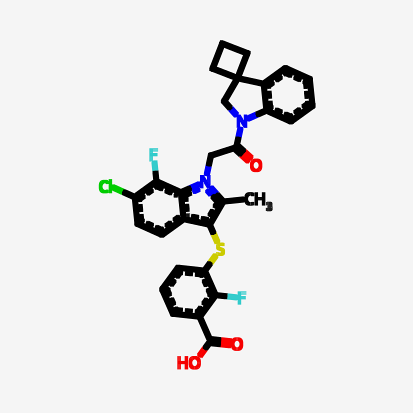 Cc1c(Sc2cccc(C(=O)O)c2F)c2ccc(Cl)c(F)c2n1CC(=O)N1CC2(CCC2)c2ccccc21